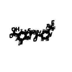 Cc1cc(C(=O)O)cc2sc(NC(=O)c3ccnc(C(F)(F)F)c3)nc12